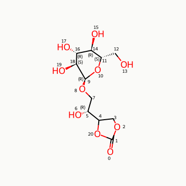 O=C1OCC([C@H](O)CO[C@@H]2O[C@@H](CO)[C@H](O)[C@@H](O)[C@@H]2O)O1